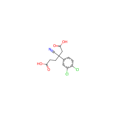 N#CC(CCC(=O)O)(CC(=O)O)c1ccc(Cl)c(Cl)c1